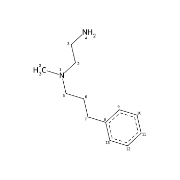 CN(CCN)CCCc1ccccc1